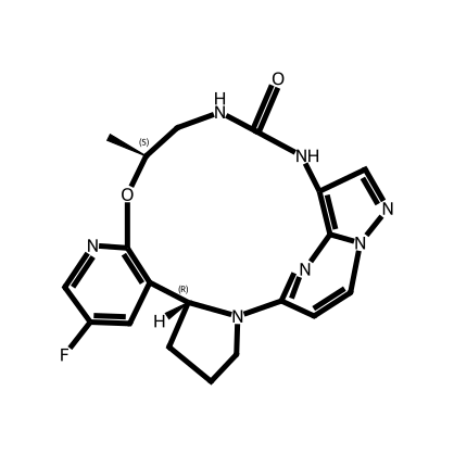 C[C@H]1CNC(=O)Nc2cnn3ccc(nc23)N2CCC[C@@H]2c2cc(F)cnc2O1